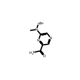 CCCCN(C)c1cncc(C(N)=O)n1